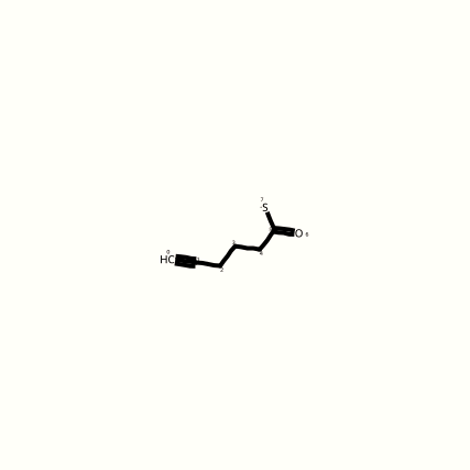 C#CCCCC(=O)[S]